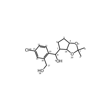 CC1(C)OC2CCC(C(O)c3ccc(Cl)cc3CO)C2O1